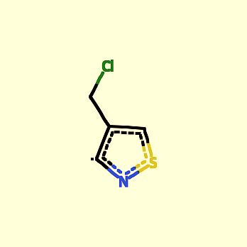 ClCc1[c]nsc1